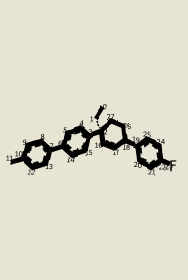 CC[C@@]1(c2ccc(-c3ccc(C)cc3)cc2)C=CC(c2ccc(F)cc2)CC1